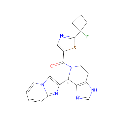 O=C(c1cnc(C2(F)CCC2)s1)N1CCc2[nH]cnc2[C@@H]1c1cn2ccccc2n1